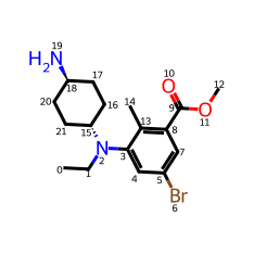 CCN(c1cc(Br)cc(C(=O)OC)c1C)[C@H]1CC[C@H](N)CC1